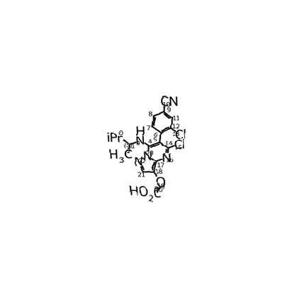 CC(C)[C@H](C)Nc1c(-c2ccc(C#N)cc2Cl)c(Cl)nc2c(OC(=O)O)cnn12